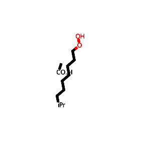 CC(=O)O.CC(C)CCCCCCCOO